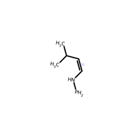 CC(C)/C=C\NP